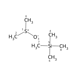 C[S+](C)[O-].C[Si](C)(C)C